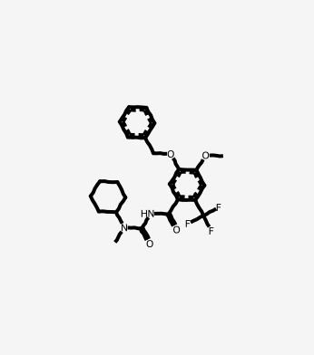 COc1cc(C(F)(F)F)c(C(=O)NC(=O)N(C)C2CCCCC2)cc1OCc1ccccc1